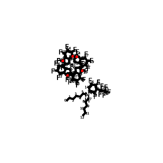 CCCCCC[NH+](CCCCCC)c1cc(F)c(F)c(C(F)(F)C(F)(F)F)c1F.FC1=C(F)[CH]([Al-]([CH]2C(F)=C(F)c3c(F)c(F)c(F)c(F)c32)([CH]2C(F)=C(F)c3c(F)c(F)c(F)c(F)c32)[CH]2C(F)=C(F)c3c(F)c(F)c(F)c(F)c32)c2c(F)c(F)c(F)c(F)c21